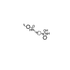 C=Cc1ccc(C(=O)NCCN2CCC(N3c4ccccc4NC3O)CC2)cc1